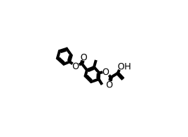 C=C(O)C(=O)Oc1c(C)ccc(C(=O)Oc2ccccc2)c1C